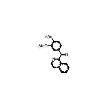 CCCCc1ccc(C(=O)c2nccc3ccccc23)cc1OC